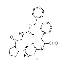 C[C@H](NC(=O)[C@@H]1CCCN1C(=O)CNC(=O)OCc1ccccc1)C(=O)N[C@H](C=O)Cc1ccccc1